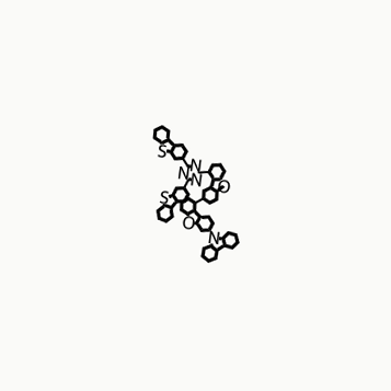 c1cc(-c2ccc3oc4cccc(-c5nc(-c6ccc7c(c6)sc6ccccc67)nc(-c6ccc7c(c6)sc6ccccc67)n5)c4c3c2)c2c(c1)oc1cc(-n3c4ccccc4c4ccccc43)ccc12